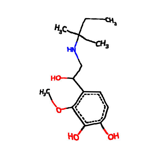 CCC(C)(C)NCC(O)c1ccc(O)c(O)c1OC